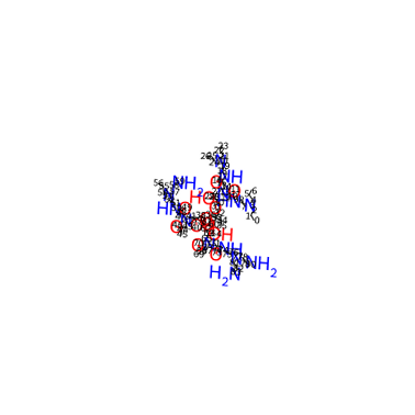 CCCN(CCC)CCNC(=O)CN(CC(=O)NCCN(CCC)CCC)CC(O)COCC(CC)(COCC(O)CN(CC(C)=O)CC(=O)NCCN(CCC)CCN)COCC(O)CN(CC(C)=O)CC(=O)NCCN(CCN)CCN